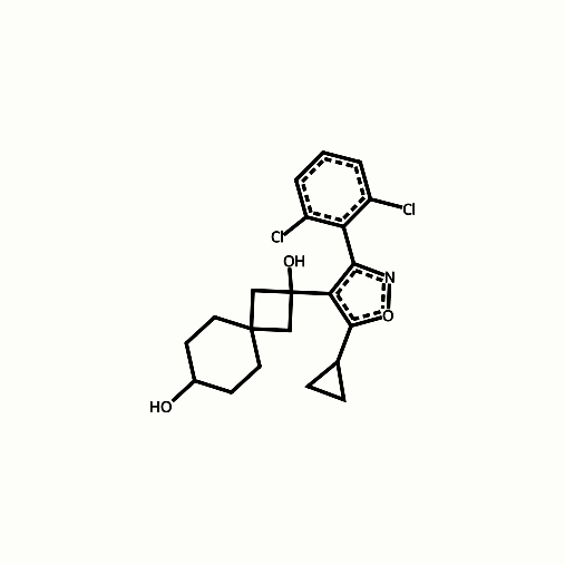 OC1CCC2(CC1)CC(O)(c1c(-c3c(Cl)cccc3Cl)noc1C1CC1)C2